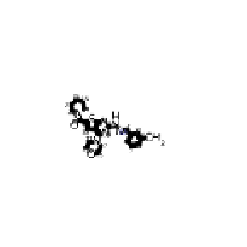 Cc1cccc(/C=N/Nc2nc(N3CCOCC3)c3cc(C(=O)N4CCCCC4)sc3n2)c1